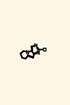 Clc1ncc2c(cc3n2CCCC3)n1